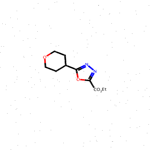 CCOC(=O)c1nnc(C2CCOCC2)o1